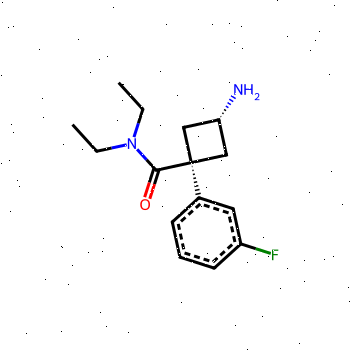 CCN(CC)C(=O)[C@]1(c2cccc(F)c2)C[C@@H](N)C1